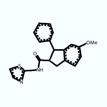 COc1ccc2c(c1)C(c1ccccc1)C(C(=O)Nc1nccs1)C2